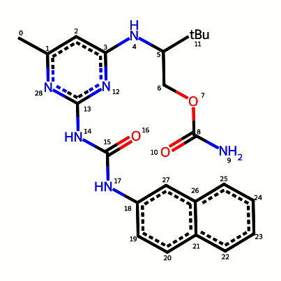 Cc1cc(NC(COC(N)=O)C(C)(C)C)nc(NC(=O)Nc2ccc3ccccc3c2)n1